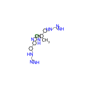 Cc1cc(-c2cccc(CNCCc3c[nH]cn3)c2)cc(Cl)c1Nc1c(C#N)cnc2cc(-c3cccc(CNCCc4c[nH]cn4)c3)ccc12